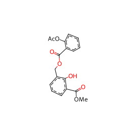 COC(=O)c1cccc(COC(=O)c2ccccc2OC(C)=O)c1O